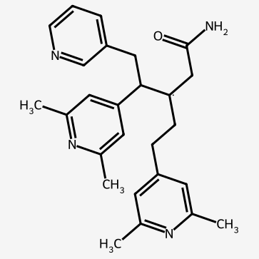 Cc1cc(CC[C](CC(N)=O)C(Cc2cccnc2)c2cc(C)nc(C)c2)cc(C)n1